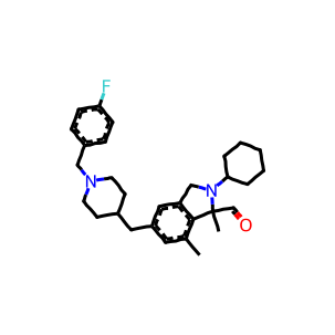 Cc1cc(CC2CCN(Cc3ccc(F)cc3)CC2)cc2c1C(C)(C=O)N(C1CCCCC1)C2